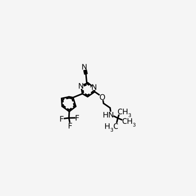 CC(C)(C)NCCOc1cc(-c2cccc(C(F)(F)F)c2)nc(C#N)n1